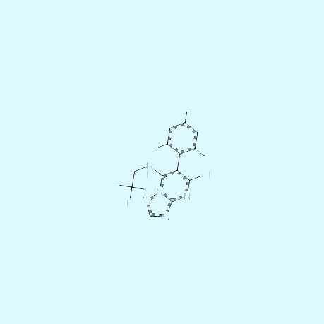 C[C@H](Nc1c(-c2c(F)cc(I)cc2F)c(Cl)nc2ncnn12)C(F)(F)F